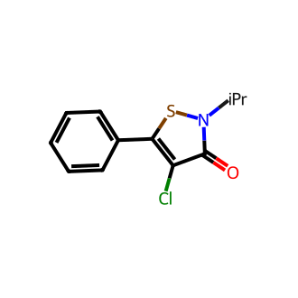 CC(C)n1sc(-c2ccccc2)c(Cl)c1=O